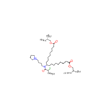 CCCCCCCC(F)C(=O)N(CCCCN1CCCC1)C(CCCCCCCCC(=O)OCC(CCCC)CCCCCC)CCCCCCCCC(=O)OCC(CCCC)CCCCCC